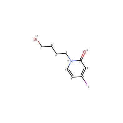 O=c1cc(I)ccn1CCCCBr